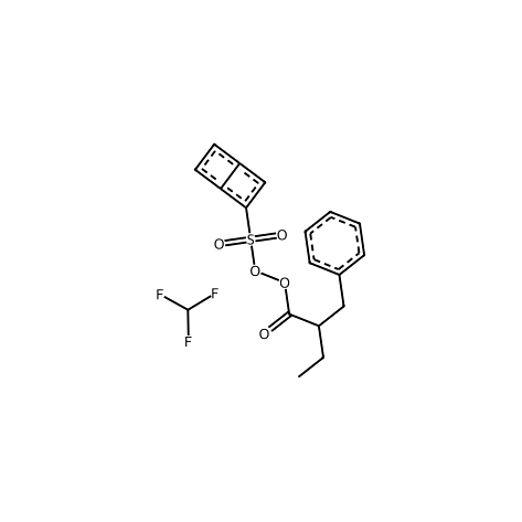 CCC(Cc1ccccc1)C(=O)OOS(=O)(=O)c1cc2ccc1-2.FC(F)F